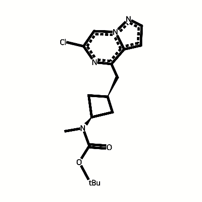 CN(C(=O)OC(C)(C)C)[C@H]1C[C@@H](Cc2nc(Cl)cn3nccc23)C1